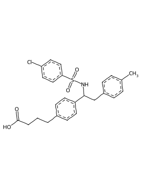 Cc1ccc(CC(NS(=O)(=O)c2ccc(Cl)cc2)c2ccc(CCCC(=O)O)cc2)cc1